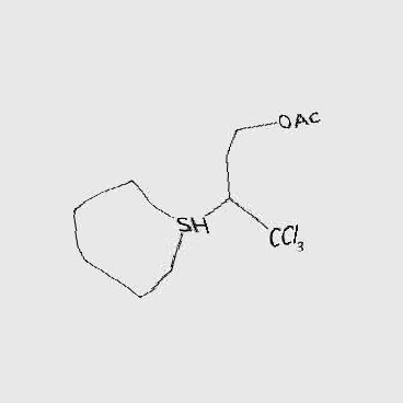 CC(=O)OCC([SH]1CCCCC1)C(Cl)(Cl)Cl